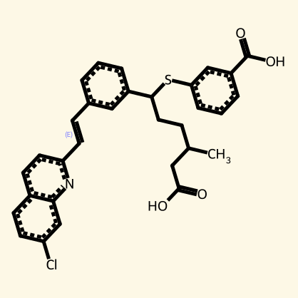 CC(CCC(Sc1cccc(C(=O)O)c1)c1cccc(/C=C/c2ccc3ccc(Cl)cc3n2)c1)CC(=O)O